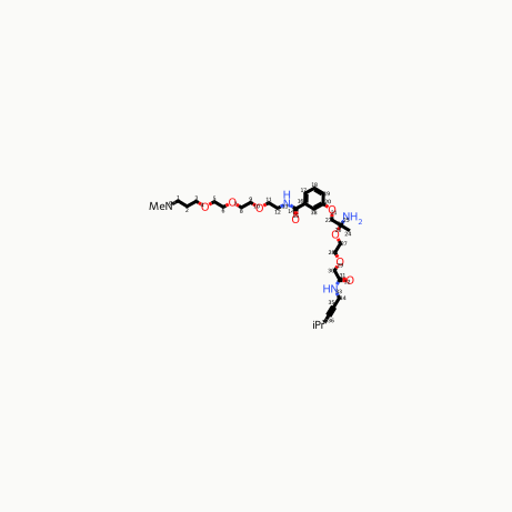 CNCCCOCCOCCOCCNC(=O)c1cccc(OCC(C)(N)OCCOCC(=O)NCC#CC(C)C)c1